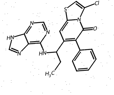 CCC(Nc1ncnc2[nH]cnc12)c1cc2scc(Cl)n2c(=O)c1-c1ccccc1